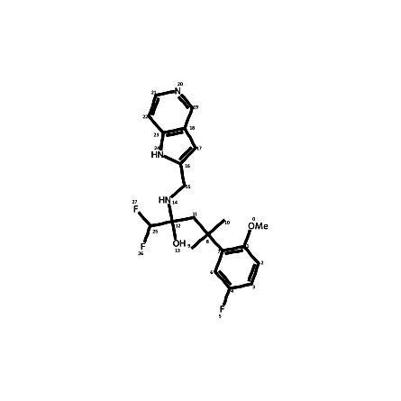 COc1ccc(F)cc1C(C)(C)CC(O)(NCc1cc2cnccc2[nH]1)C(F)F